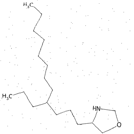 CCCCCCCCC(CCC)CCCC1COCN1